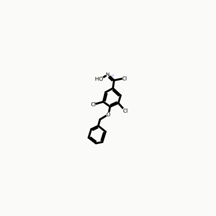 O/N=C(/Cl)c1cc(Cl)c(OCc2ccccc2)c(Cl)c1